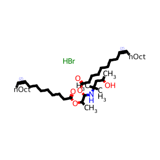 Br.CCCCCCCC/C=C\CCCCCCCC(=O)OC(C)C(NC(C)(C)CC(C)O)OC(=O)CCCCCCC/C=C\CCCCCCCC